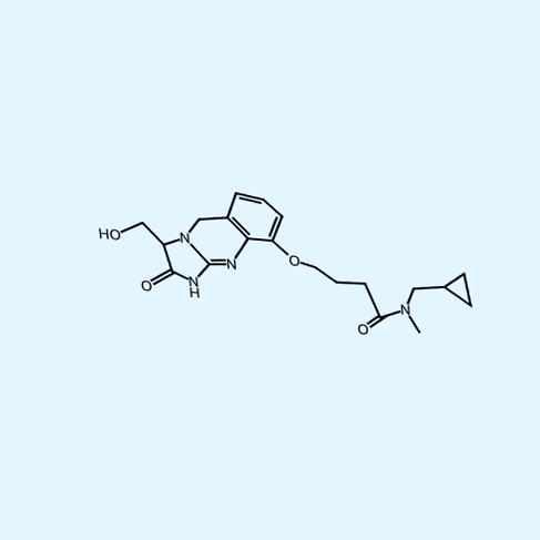 CN(CC1CC1)C(=O)CCCOc1cccc2c1N=C1NC(=O)C(CO)N1C2